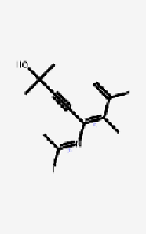 C=C(C)/C(C)=C(C#CC(C)(C)O)/N=C(\C)I